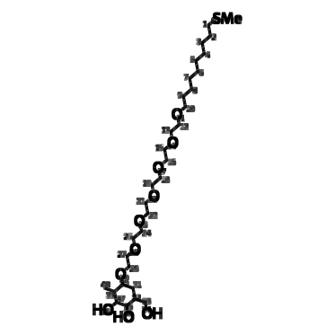 CSCCCCCCCCCCOCCOCCOCCOCCOCCOCCOC1CC(CO)C(O)C(O)C1C